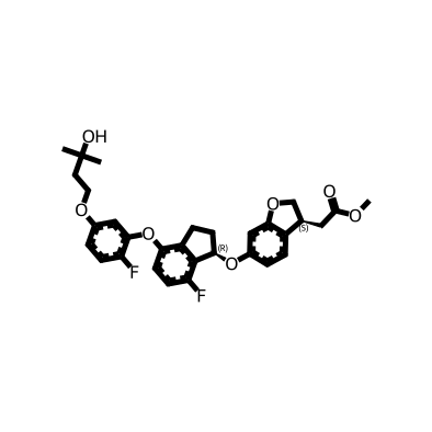 COC(=O)C[C@@H]1COc2cc(O[C@@H]3CCc4c(Oc5cc(OCCC(C)(C)O)ccc5F)ccc(F)c43)ccc21